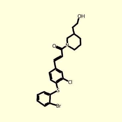 O=C(C=Cc1ccc(Sc2ccccc2Br)c(Cl)c1)N1CCCC(CCO)C1